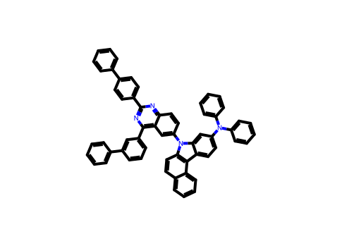 c1ccc(-c2ccc(-c3nc(-c4cccc(-c5ccccc5)c4)c4cc(-n5c6cc(N(c7ccccc7)c7ccccc7)ccc6c6c7ccccc7ccc65)ccc4n3)cc2)cc1